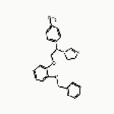 Nc1ccc(C(COc2ccccc2OCc2ccccc2)N2C=NCC2)cc1